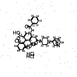 Cl.Cl.O=C(O)C1=CN(CC(=O)c2ccccc2)C(CC(=O)N2CCN(C3CN4CCC3CC4)CC2)=C(C(=O)O)C1c1c(Cl)cccc1Cl